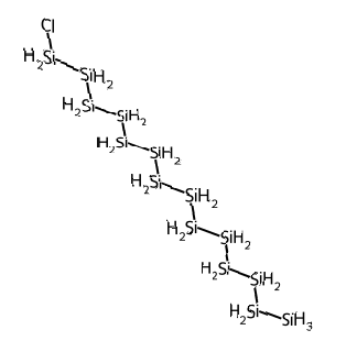 [SiH3][SiH2][SiH2][SiH2][SiH2][SiH2][SiH2][SiH2][SiH2][SiH2][SiH2][SiH2][SiH2][SiH2]Cl